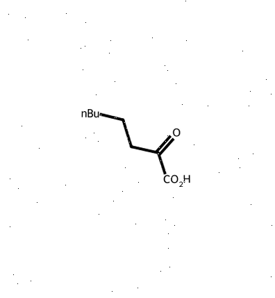 [CH2]CCCCCC(=O)C(=O)O